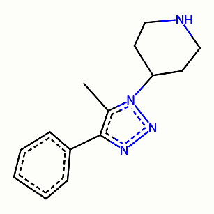 Cc1c(-c2ccccc2)nnn1C1CCNCC1